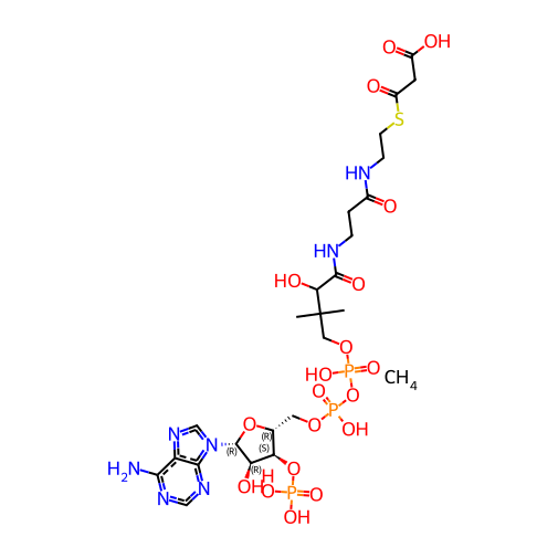 C.CC(C)(COP(=O)(O)OP(=O)(O)OC[C@H]1O[C@@H](n2cnc3c(N)ncnc32)[C@H](O)[C@@H]1OP(=O)(O)O)C(O)C(=O)NCCC(=O)NCCSC(=O)CC(=O)O